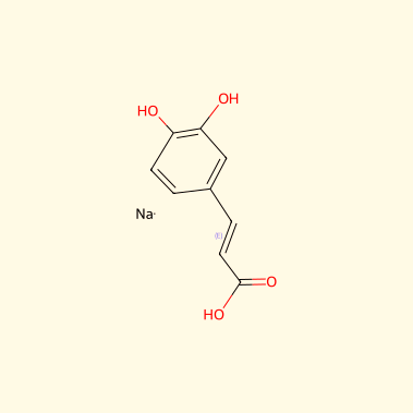 O=C(O)/C=C/c1ccc(O)c(O)c1.[Na]